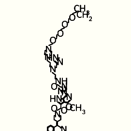 C=C(C)COCCOCCOCCOCCN1CCN(CCCN(CCCNC(=O)c2ncn(-c3ncc(OC)c4c(C(=O)C(=O)N5CCC(=C(C#N)c6ccccc6)CC5)c[nH]c34)n2)Cc2c[nH]cn2)CC1